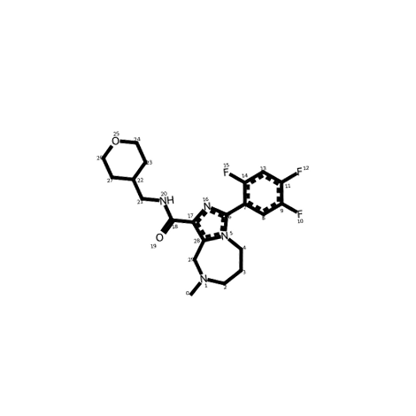 CN1CCCn2c(-c3cc(F)c(F)cc3F)nc(C(=O)NCC3CCOCC3)c2C1